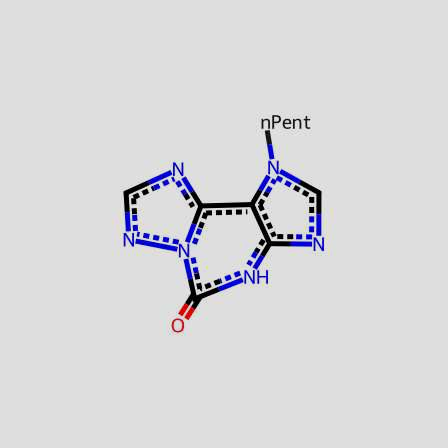 CCCCCn1cnc2[nH]c(=O)n3ncnc3c21